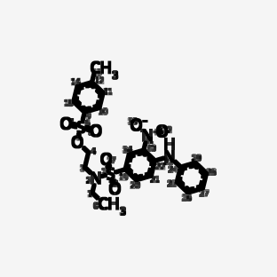 CCN(CCOS(=O)(=O)c1ccc(C)cc1)S(=O)(=O)c1ccc(Nc2ccccc2)c([N+](=O)[O-])c1